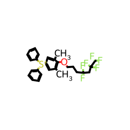 Cc1cc([S+](c2ccccc2)c2ccccc2)cc(C)c1OCCCC(F)(F)CC(F)(F)C(F)F